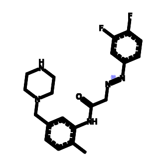 Cc1ccc(CN2CCNCC2)cc1NC(=O)C/N=N/c1ccc(F)c(F)c1